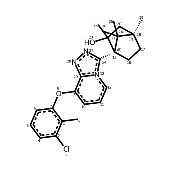 Cc1c(Cl)cccc1Oc1cccn2c([C@]34CC[C@](C)(CC3(C)O)C4(C)C)nnc12